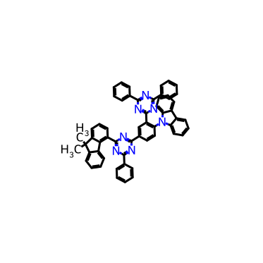 CC1(C)c2ccccc2-c2c(-c3nc(-c4ccccc4)nc(-c4ccc(-n5c6ccccc6c6ccccc65)c(-c5nc(-c6ccccc6)nc(-c6ccccc6)n5)c4)n3)cccc21